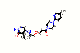 C[C@H](COCCC(=O)N1CCN(c2ccc(C#N)cn2)CC1)Nc1cn[nH]c(=O)c1C(F)(F)F